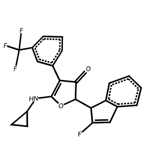 O=C1C(c2cccc(C(F)(F)F)c2)=C(NC2CC2)OC1C1C(F)=Cc2ccccc21